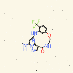 CNc1cc2nc3c(cnn13)C(=O)NCCOc1ccc(C(F)(F)F)c(c1)N2